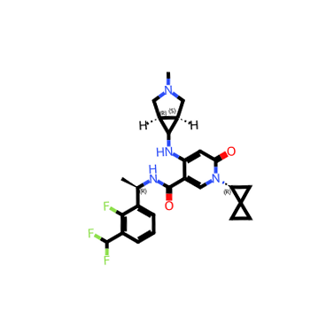 C[C@@H](NC(=O)c1cn([C@@H]2CC23CC3)c(=O)cc1NC1[C@H]2CN(C)C[C@@H]12)c1cccc(C(F)F)c1F